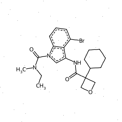 CCN(C)C(=O)n1cc(NC(=O)C2(C3CCCCC3)COC2)c2c(Br)cccc21